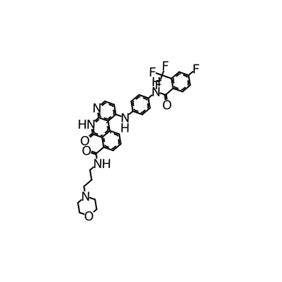 O=C(Nc1ccc(Nc2ccnc3[nH]c(=O)c4c(C(=O)NCCCN5CCOCC5)cccc4c23)cc1)c1ccc(F)cc1C(F)(F)F